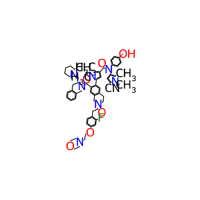 Cc1c(N(C(=O)c2cc(-c3cc4c(cc3C(=O)N3Cc5ccccc5C[C@H]3CN3CCCC[C@@H]3C)CN(C(=O)Cc3ccc(OCCN5CCOCC5)cc3F)CC4)n(C)c2C)c2ccc(O)cc2)cc(C#N)n1C